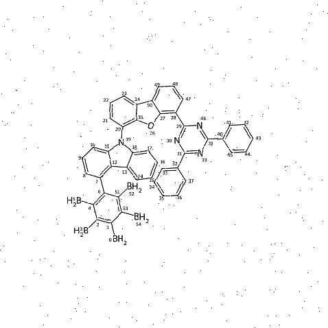 Bc1c(B)c(B)c(-c2cccc3c2c2ccccc2n3-c2cccc3c2oc2c(-c4nc(-c5ccccc5)nc(-c5ccccc5)n4)cccc23)c(B)c1B